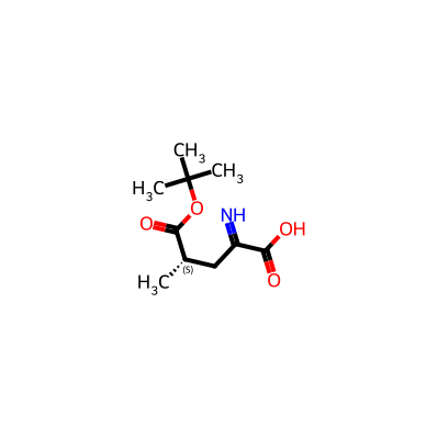 C[C@@H](CC(=N)C(=O)O)C(=O)OC(C)(C)C